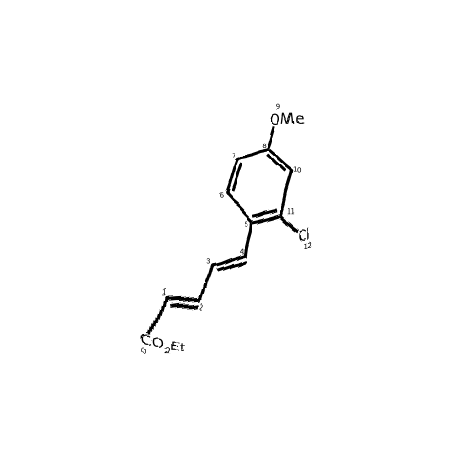 CCOC(=O)C=CC=Cc1ccc(OC)cc1Cl